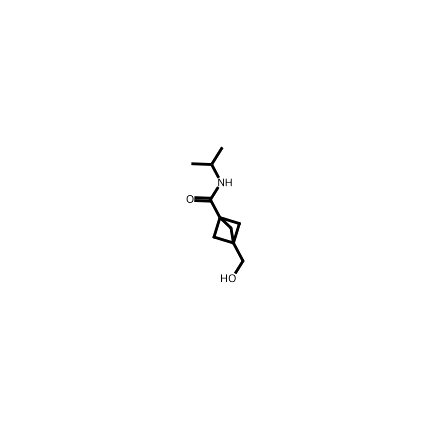 CC(C)NC(=O)C12CC(CO)(C1)C2